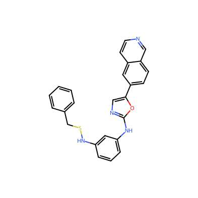 c1ccc(CSNc2cccc(Nc3ncc(-c4ccc5cnccc5c4)o3)c2)cc1